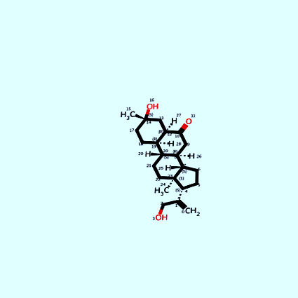 C=C(CO)[C@H]1CC[C@H]2[C@@H]3CC(=O)[C@@H]4C[C@@](C)(O)CC[C@@H]4[C@H]3CC[C@]12C